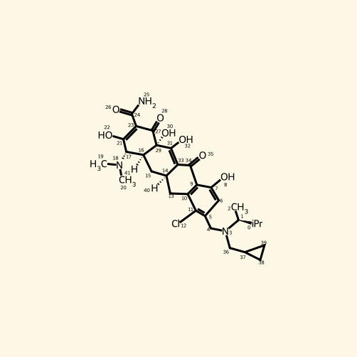 CC(C)[C@H](C)N(Cc1cc(O)c2c(c1Cl)C[C@H]1C[C@H]3[C@H](N(C)C)C(O)=C(C(N)=O)C(=O)[C@@]3(O)C(O)=C1C2=O)CC1CC1